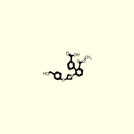 COC(=O)c1cccc(N2CC(Oc3ccc(CO)cc3)C2)c1-c1cccc(C(=O)O)c1